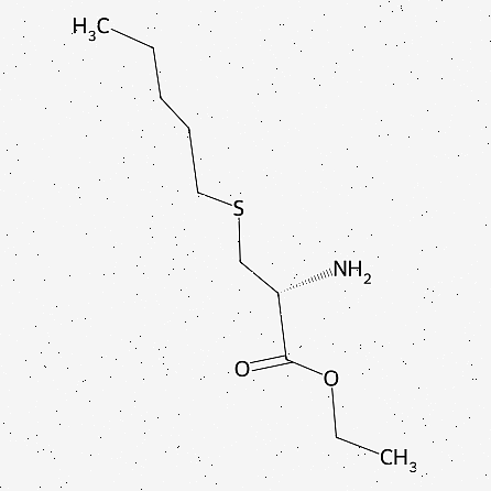 CCCCCSC[C@H](N)C(=O)OCC